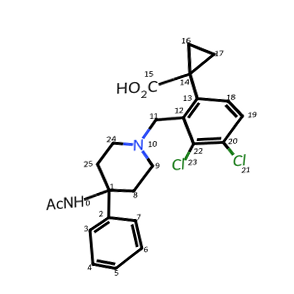 CC(=O)NC1(c2ccccc2)CCN(Cc2c(C3(C(=O)O)CC3)ccc(Cl)c2Cl)CC1